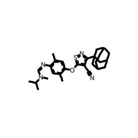 Cc1cc(Oc2snc(C34CC5CC(CC(C5)C3)C4)c2C#N)c(C)cc1/N=C\N(C)C(C)C